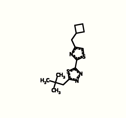 CC(C)(C)Cc1nnc(-c2nc(CC3CCC3)cs2)s1